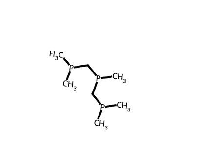 CP(C)CP(C)CP(C)C